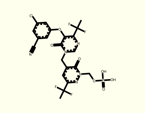 CC(F)(F)c1cc(Cn2cnc(C(C)(F)F)c(Oc3cc(Cl)cc(C#N)c3)c2=O)c(=O)n(COP(=O)(O)O)n1